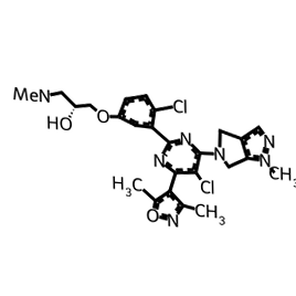 CNC[C@@H](O)COc1ccc(Cl)c(-c2nc(-c3c(C)noc3C)c(Cl)c(N3Cc4cnn(C)c4C3)n2)c1